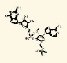 CO[C@H]1[C@@H](OP(=O)(O)OC[C@H]2O[C@@H](n3cnc4c(=O)[nH]c(N)nc43)[C@@H](O)C2O)[C@@H](COP(=O)(O)O)O[C@H]1n1cnc2c(N)ncnc21